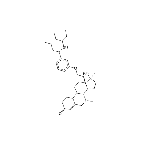 CCCC(NC(CC)CC)c1cccc(OCC[C@]23CCC4C5CCC(=O)C=C5C[C@@H](C)C4C2CC[C@]3(C)O)c1